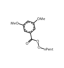 [CH2]CCCCOOC(=O)c1cc(OC)cc(OC)c1